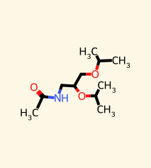 CC(=O)NCC(COC(C)C)OC(C)C